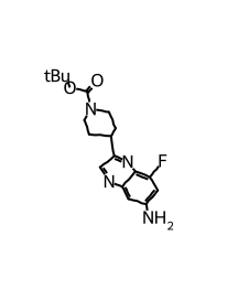 CC(C)(C)OC(=O)N1CCC(c2cnc3cc(N)cc(F)c3n2)CC1